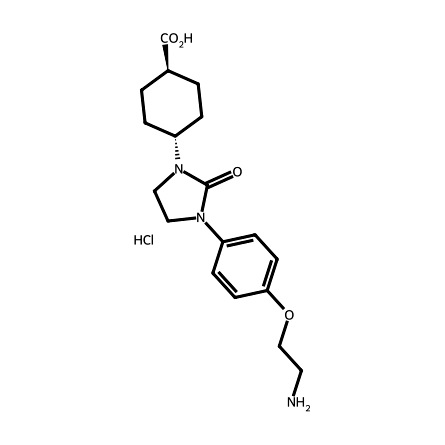 Cl.NCCOc1ccc(N2CCN([C@H]3CC[C@H](C(=O)O)CC3)C2=O)cc1